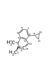 [CH2]C(C=C)c1cccc(C2CC2)c1C=C